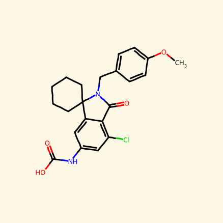 COc1ccc(CN2C(=O)c3c(Cl)cc(NC(=O)O)cc3C23CCCCC3)cc1